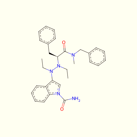 CCN(c1cn(C(N)=O)c2ccccc12)N(CC)[C@@H](Cc1ccccc1)C(=O)N(C)Cc1ccccc1